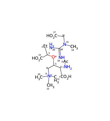 CC(N)=O.CCC(OC(CC(=O)O)C[N+](C)(C)C)C(=O)O.CN(CC(=O)O)C(=N)N